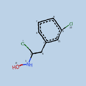 ONC(Cl)Cc1cccc(Cl)c1